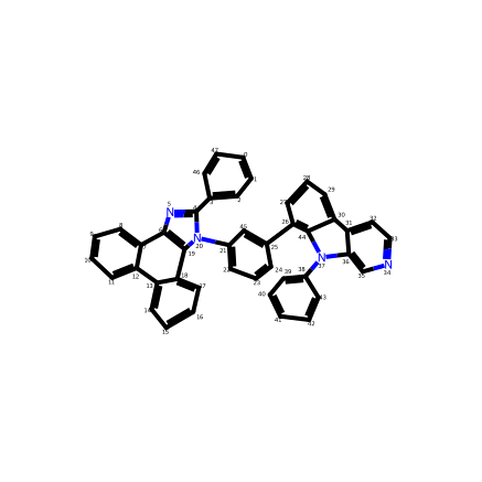 c1ccc(-c2nc3c4ccccc4c4ccccc4c3n2-c2cccc(-c3cccc4c5ccncc5n(-c5ccccc5)c34)c2)cc1